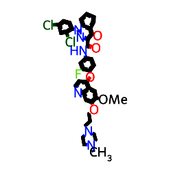 COc1cc2c(Oc3ccc(NC(=O)c4nn(-c5ccc(Cl)cc5Cl)c5ccccc5c4=O)cc3F)ccnc2cc1OCCCN1CCN(C)CC1